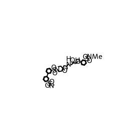 CNS(=O)(=O)c1cccc(OC[C@@H](O)CNC2COC3(CCN(S(=O)(=O)c4cccc(-c5cccc(S(=O)(=O)N(C)C)c5)c4)CC3)C2)c1